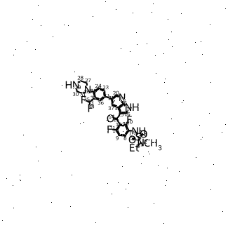 CCN(C)S(=O)(=O)Nc1ccc(F)c(C(=O)c2c[nH]c3ncc(-c4ccc(N5CCNCC5)c(C(F)F)c4)cc23)c1F